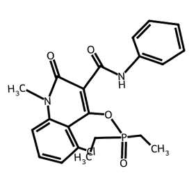 CCP(=O)(CC)Oc1c(C(=O)Nc2ccccc2)c(=O)n(C)c2cccc(Cl)c12